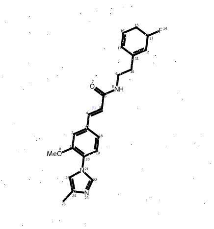 COc1cc(/C=C/C(=O)NCCC2=CC(F)CC=C2)ccc1-n1cnc(C)c1